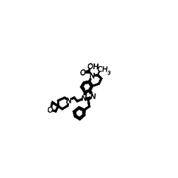 C[C@H]1CCc2c(ccc3c2nc(Cc2ccccc2)n3CCN2CCC3(CC2)COC3)N1C(=O)O